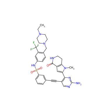 CCN1CCN(Cc2ccc(NS(=O)(=O)c3cccc(C#Cc4cnc(N)nc4-c4cc5c(n4C)CCNC5=O)c3)cc2C(F)(F)F)CC1